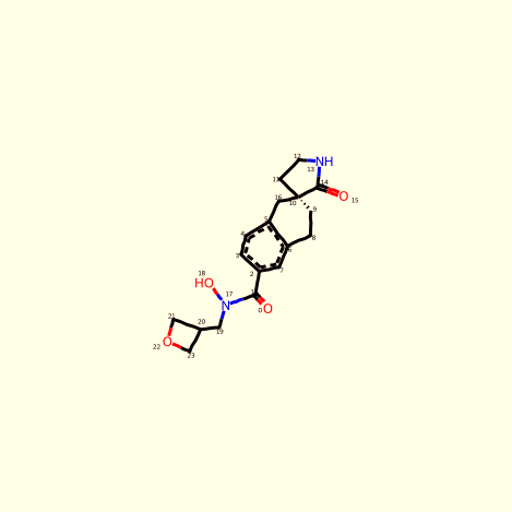 O=C(c1ccc2c(c1)CC[C@@]1(CCNC1=O)C2)N(O)CC1COC1